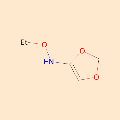 CCONC1=COCO1